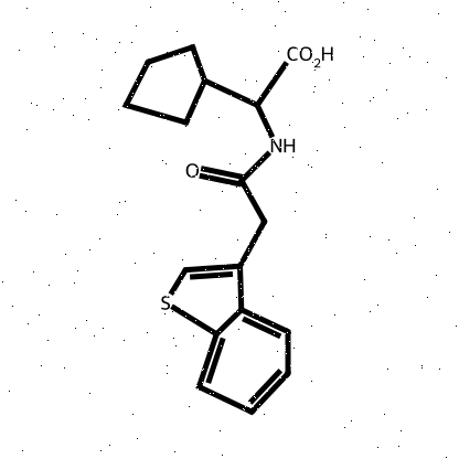 O=C(Cc1csc2ccccc12)NC(C(=O)O)C1CCCC1